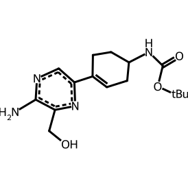 CC(C)(C)OC(=O)NC1CC=C(c2cnc(N)c(CO)n2)CC1